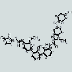 COc1nc(-c2ccnc(-c3cccc(NC(=O)c4nc5c(n4C)CCN(C[C@H]4CC[C@@H](O)CC4)C5)c3Cl)c2Cl)ccc1CNC[C@@H]1CCC(=O)N1